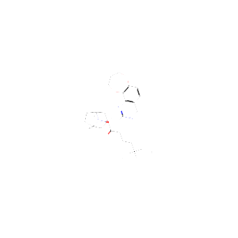 CC(C)(C)CCCC(=O)CN1[C@@H]2CC[C@H]1C[C@H](CC1=Nc3c(ccc4c3OCCCO4)CN1)C2